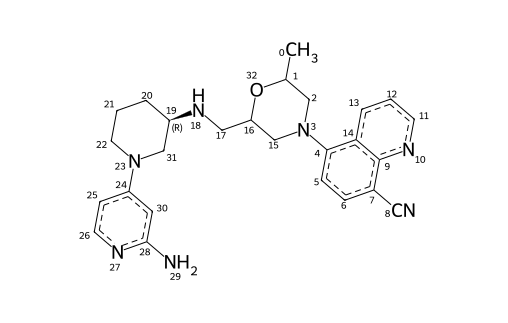 CC1CN(c2ccc(C#N)c3ncccc23)CC(CN[C@@H]2CCCN(c3ccnc(N)c3)C2)O1